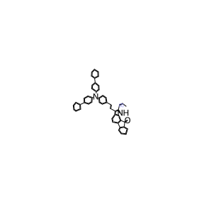 C/C=C\c1[nH]c2c3c(ccc2c1C=Cc1ccc(N(c2ccc(-c4ccccc4)cc2)c2ccc(-c4ccccc4)cc2)cc1)-c1ccccc1C3=O